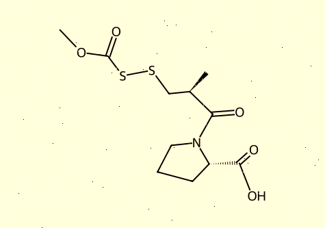 COC(=O)SSC[C@@H](C)C(=O)N1CCC[C@H]1C(=O)O